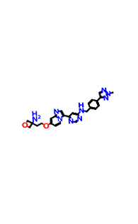 Cn1ncc(-c2ccc(CNc3cc(-c4cnc5cc(OCCC6(N)COC6)ccn45)ncn3)cc2)n1